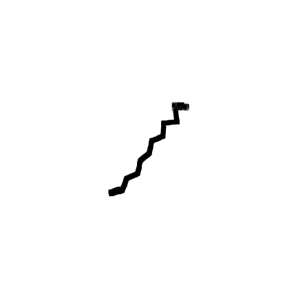 C=CCCCCCCCCSC